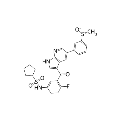 C[S+]([O-])c1cccc(-c2cnc3[nH]cc(C(=O)c4cc(NS(=O)(=O)C5CCCC5)ccc4F)c3c2)c1